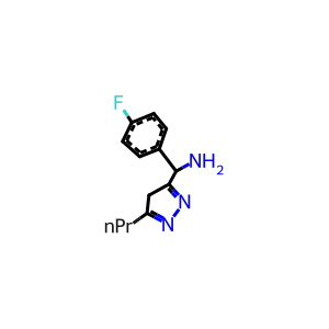 CCCC1=NN=C(C(N)c2ccc(F)cc2)C1